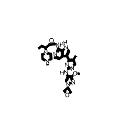 CCC(C1OC1Nc1nccc2c(-c3nc(Nc4cn(C5COC5)nc4OC)ncc3C)c[nH]c12)N1CCN(C)CC1